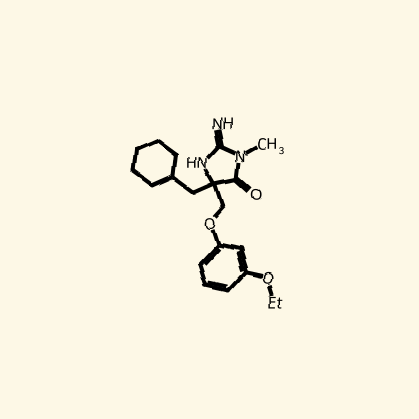 CCOc1cccc(OCC2(CC3CCCCC3)NC(=N)N(C)C2=O)c1